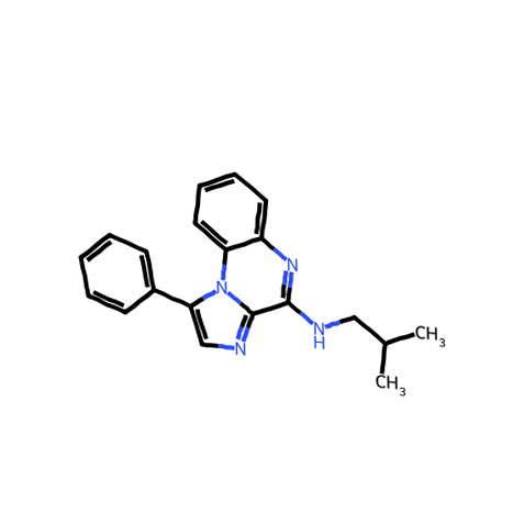 CC(C)CNc1nc2ccccc2n2c(-c3ccccc3)cnc12